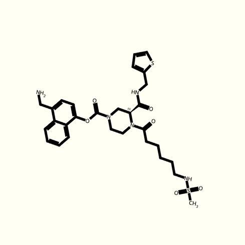 CS(=O)(=O)NCCCCCC(=O)N1CCN(C(=O)Oc2ccc(CN)c3ccccc23)C[C@H]1C(=O)NCc1cccs1